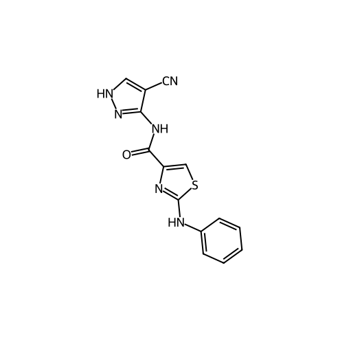 N#Cc1c[nH]nc1NC(=O)c1csc(Nc2ccccc2)n1